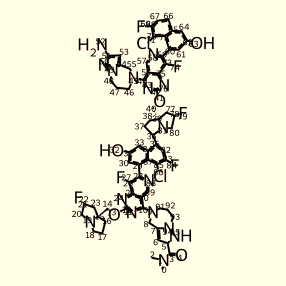 CN(C)C(=O)C1C=C2CN(c3nc(OC[C@@]45CCCN4C[C@H](F)C5)nc4c(F)c(-c5cc(O)cc6c(C7CC[C@@]8(COc9nc(N%10CCCn%11nc(N)cc%11C%10)c%10cnc(-c%11cc(O)cc%12ccc(F)c(Cl)c%11%12)c(F)c%10n9)C[C@@H](F)CN78)cc(F)c(Cl)c56)ncc34)CCCN2N1